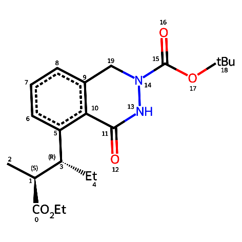 CCOC(=O)[C@@H](C)[C@@H](CC)c1cccc2c1C(=O)NN(C(=O)OC(C)(C)C)C2